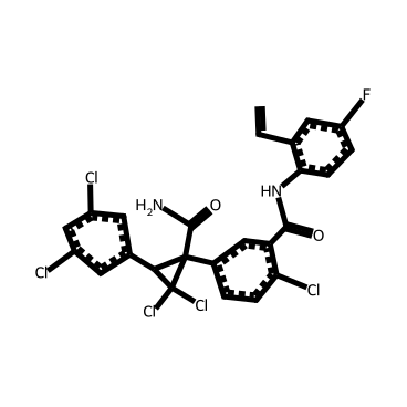 C=Cc1cc(F)ccc1NC(=O)c1cc(C2(C(N)=O)C(c3cc(Cl)cc(Cl)c3)C2(Cl)Cl)ccc1Cl